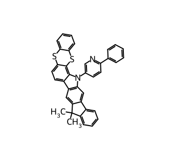 CC1(C)c2ccccc2-c2cc3c(cc21)c1ccc2c(c1n3-c1ccc(-c3ccccc3)nc1)Sc1ccccc1S2